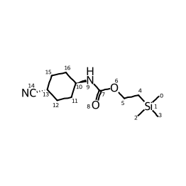 C[Si](C)(C)CCOC(=O)N[C@H]1CC[C@H](C#N)CC1